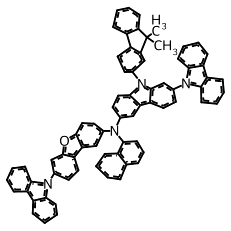 CC1(C)c2ccccc2-c2ccc(-n3c4ccc(N(c5ccc6oc7cc(-n8c9ccccc9c9ccccc98)ccc7c6c5)c5cccc6ccccc56)cc4c4ccc(-n5c6ccccc6c6ccccc65)cc43)cc21